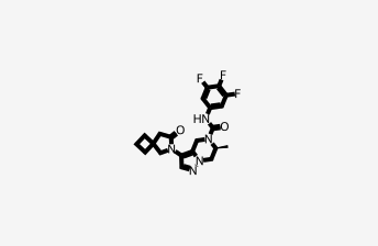 C[C@H]1Cn2ncc(N3CC4(CCC4)CC3=O)c2CN1C(=O)Nc1cc(F)c(F)c(F)c1